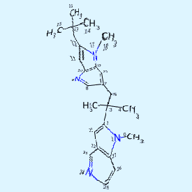 Cn1c(C(C)(C)Cc2cnc3cc(C(C)(C)C)n(C)c3c2)cc2cnccc21